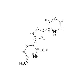 C=C1CSC(C2=NCC(c3ncccn3)=C2)C(=O)N1